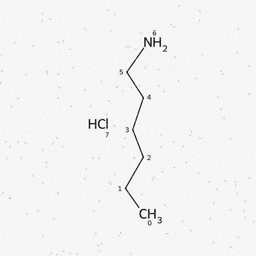 CCCCCCN.Cl